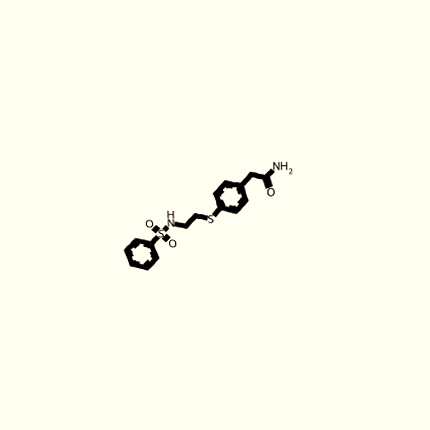 NC(=O)Cc1ccc(SCCNS(=O)(=O)c2ccccc2)cc1